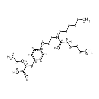 CCCCCCN(CCOc1ccc(CC(OCC)C(=O)O)cc1)C(=O)NCCCC